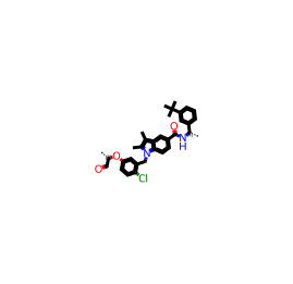 Cc1c(C)n(Cc2cc(O[C@@H](C)C=O)ccc2Cl)c2ccc(C(=O)N[C@@H](C)c3cccc(C(C)(C)C)c3)cc12